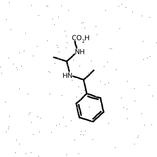 CC(NC(=O)O)NC(C)c1ccccc1